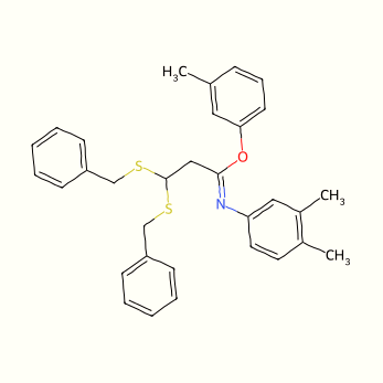 Cc1cccc(O/C(CC(SCc2ccccc2)SCc2ccccc2)=N\c2ccc(C)c(C)c2)c1